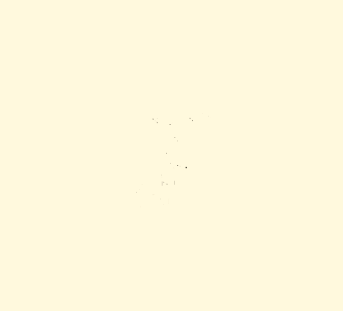 CC(C)(C)NC[C@H](O)COc1ncccc1-n1cccc1